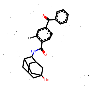 CCc1cc(C(=O)c2ccccc2)ccc1C(=O)NC1C2CC3CC1CC(O)(C3)C2